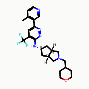 Cc1ccncc1-c1cc(C(F)(F)F)c(N[C@@H]2C[C@@H]3CN(CC4CCOCC4)C[C@@H]3C2)nn1